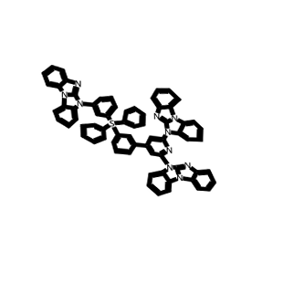 c1ccc(S(c2ccccc2)(c2cccc(-c3cc(-n4c5ccccc5n5c6ccccc6nc45)nc(-n4c5ccccc5n5c6ccccc6nc45)c3)c2)c2cccc(-n3c4ccccc4n4c5ccccc5nc34)c2)cc1